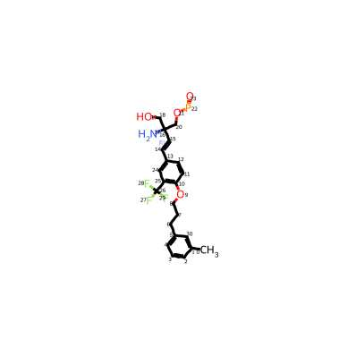 Cc1cccc(CCCOc2ccc(/C=C/C(N)(CO)COP=O)cc2C(F)(F)F)c1